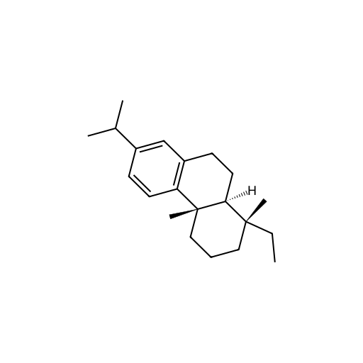 CC[C@]1(C)CCC[C@]2(C)c3ccc(C(C)C)cc3CC[C@@H]12